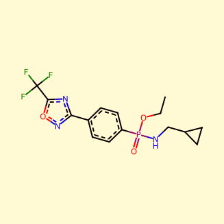 CCOP(=O)(NCC1CC1)c1ccc(-c2noc(C(F)(F)F)n2)cc1